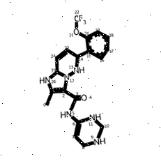 CC1=C(C(=O)NC2=CCNCN2)N2NC(c3ccccc3OC(F)(F)F)C=CC2N1